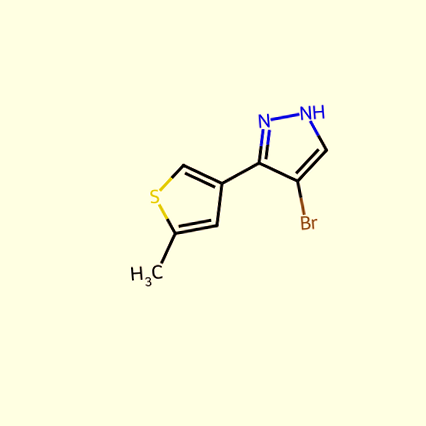 Cc1cc(-c2n[nH]cc2Br)cs1